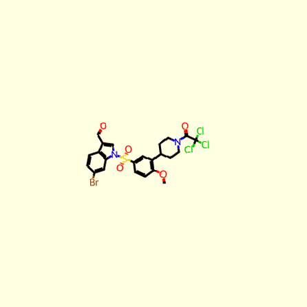 COc1ccc(S(=O)(=O)n2cc(C=O)c3ccc(Br)cc32)cc1C1CCN(C(=O)C(Cl)(Cl)Cl)CC1